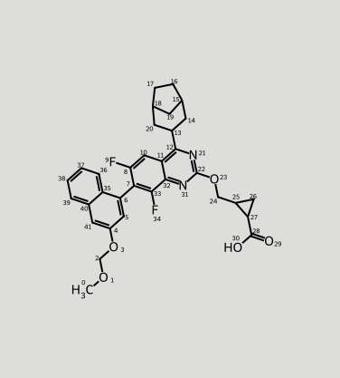 COCOc1cc(-c2c(F)cc3c(C4CC5CCC(C5)C4)nc(OCC4CC4C(=O)O)nc3c2F)c2ccccc2c1